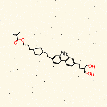 C=C(C)C(=O)OCCCC1CCC(CCc2ccc(-c3ccc(CCC(CO)CO)cc3CC)c(CC)c2)CC1